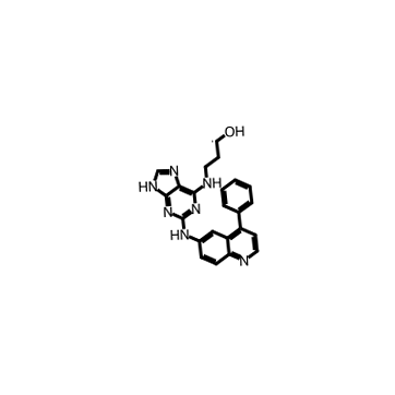 O[CH]CCNc1nc(Nc2ccc3nccc(-c4ccccc4)c3c2)nc2[nH]cnc12